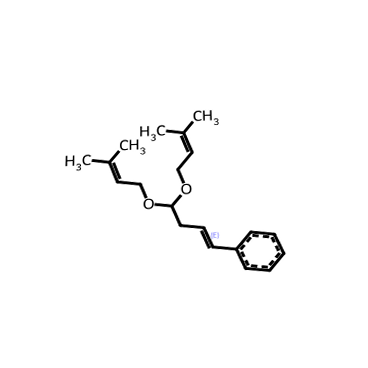 CC(C)=CCOC(C/C=C/c1ccccc1)OCC=C(C)C